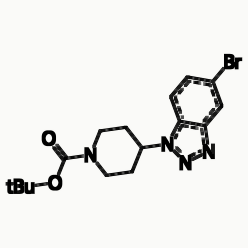 CC(C)(C)OC(=O)N1CCC(n2nnc3cc(Br)ccc32)CC1